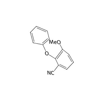 COc1cccc(C#N)c1Oc1ccccc1